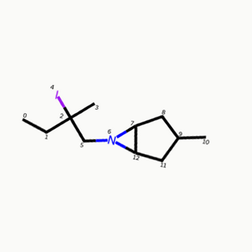 CCC(C)(I)CN1C2CC(C)CC21